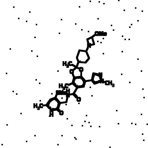 COC1CN(C2CCC(C3(C)Oc4c(-c5cnn(C)c5)cc(C(=O)NCc5c(SC)cc(C)[nH]c5=O)c(C)c4O3)CC2)C1